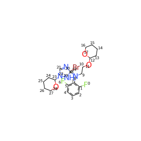 Fc1cccc(F)c1N(CCOC1CCCCO1)C1(Br)N=CN(C2CCCCO2)N1